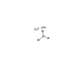 O.O.[Br][Ni]([Br])[Br]